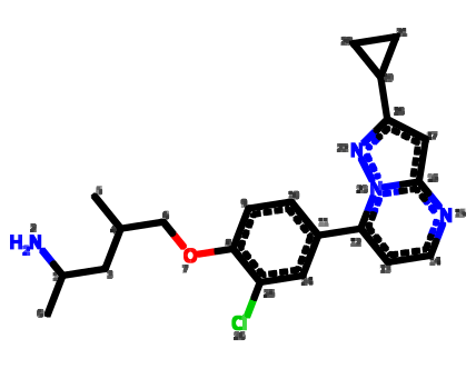 CC(N)CC(C)COc1ccc(-c2ccnc3cc(C4CC4)nn23)cc1Cl